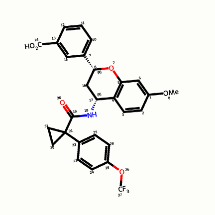 COc1ccc2c(c1)O[C@@H](c1cccc(C(=O)O)c1)C[C@H]2NC(=O)C1(c2ccc(OC(F)(F)F)cc2)CC1